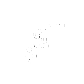 COCCN1CCN(c2ccc3ncnc(Nc4cc(NC(=O)c5cccc(C(C)(C)C#N)c5)ccc4C)c3n2)CC1